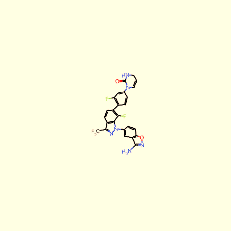 Nc1noc2ccc(-n3nc(C(F)(F)F)c4ccc(-c5ccc(N6C=CCNC6=O)cc5F)c(F)c43)cc12